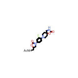 CC(=O)NCC1CN(c2ccc(N3CCC4(CC3)CNC(=O)O4)c(F)c2)C(=O)O1